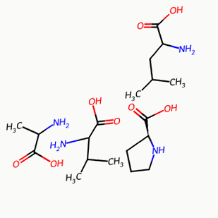 CC(C)C(N)C(=O)O.CC(C)CC(N)C(=O)O.CC(N)C(=O)O.O=C(O)[C@@H]1CCCN1